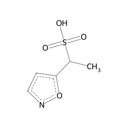 CC(c1ccno1)S(=O)(=O)O